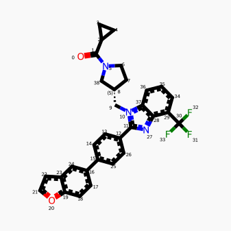 O=C(C1CC1)N1CC[C@H](Cn2c(-c3ccc(-c4ccc5occc5c4)cc3)nc3c(C(F)(F)F)cccc32)C1